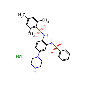 Cc1cc(C)c(S(=O)(=O)Nc2ccc(N3CCNCC3)cc2NS(=O)(=O)c2ccccc2)c(C)c1.Cl